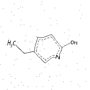 CCc1[c]cc(O)nc1